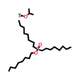 CC(C)[O][Ti].CCCCCCCCOP(=O)(CCCCCCCC)CCCCCCCC